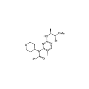 CCC(OC)[C@H](C)Nc1ncc(C)c(N(C(=O)C(C)C)C2CCOCC2)n1